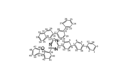 c1ccc(-c2ccc(-c3ccc(-c4nc(-c5c(-c6cccc(-c7ccccc7)c6)ccc6ccccc56)nc(-c5cccc6c5oc5ccccc56)n4)cc3)cc2)cc1